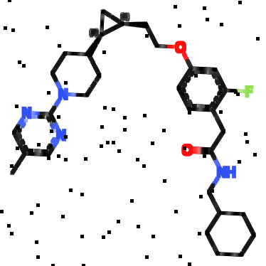 Cc1cnc(N2CCC([C@H]3C[C@H]3CCOc3ccc(CC(=O)NCC4CCCCC4)c(F)c3)CC2)nc1